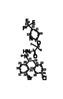 CN(NC(=O)C(C)(C)Oc1ccc(C(F)(F)F)cn1)C(Cc1ccc(Cl)cc1)c1cccc(Br)c1